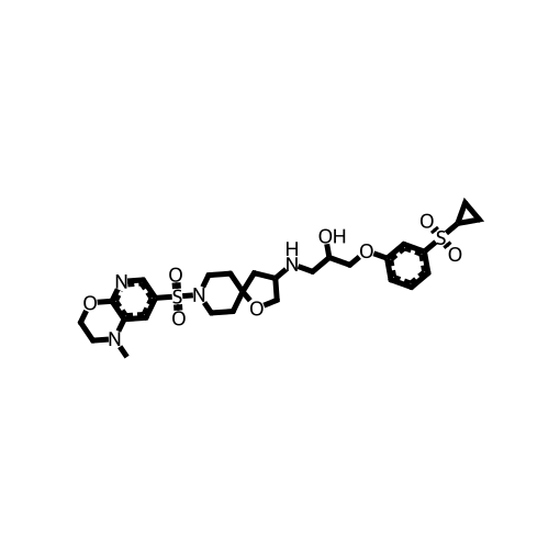 CN1CCOc2ncc(S(=O)(=O)N3CCC4(CC3)CC(NCC(O)COc3cccc(S(=O)(=O)C5CC5)c3)CO4)cc21